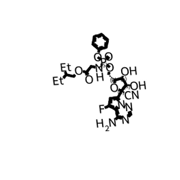 CCC(CC)COC(=O)CN[P@](=O)(OC[C@H]1O[C@@](C#N)(c2cc(F)c3c(N)ncnn23)[C@H](O)[C@@H]1O)Oc1ccccc1